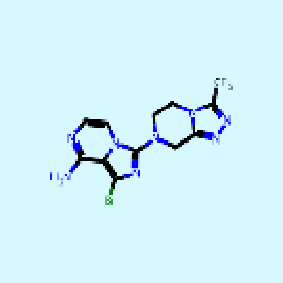 Nc1nccn2c(N3CCn4c(nnc4C(F)(F)F)C3)nc(Br)c12